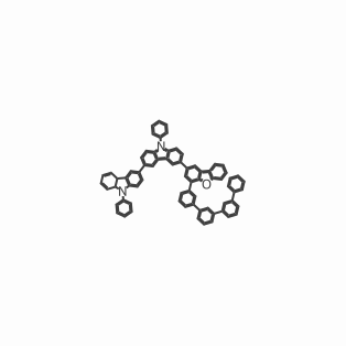 C1=CC2c3cc(-c4ccc5c(c4)c4cc(-c6cc(-c7cccc(-c8cccc(-c9cccc(-c%10ccccc%10)c9)c8)c7)c7oc8ccccc8c7c6)ccc4n5-c4ccccc4)ccc3N(c3ccccc3)C2C=C1